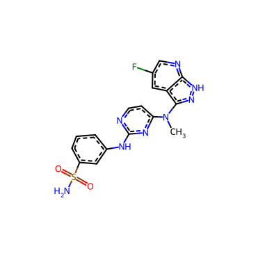 CN(c1ccnc(Nc2cccc(S(N)(=O)=O)c2)n1)c1n[nH]c2ncc(F)cc12